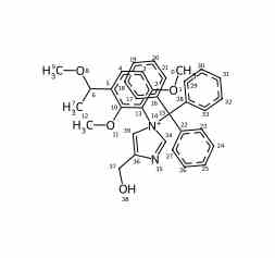 COc1ccc(C(C)OC)c(OC)c1[N+]1(C(c2ccccc2)(c2ccccc2)c2ccccc2)C=NC(CO)=C1